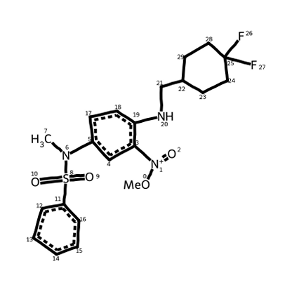 CO[N+](=O)c1cc(N(C)S(=O)(=O)c2ccccc2)ccc1NCC1CCC(F)(F)CC1